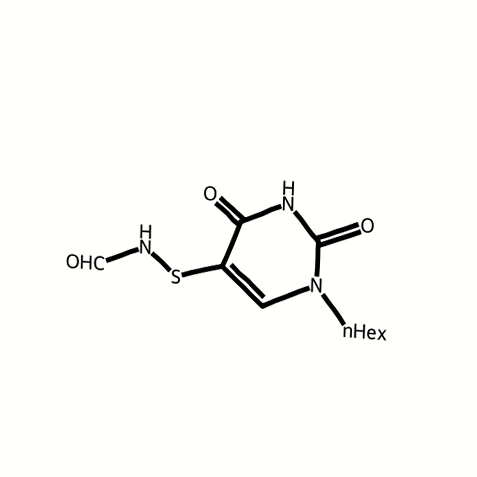 CCCCCCn1cc(SNC=O)c(=O)[nH]c1=O